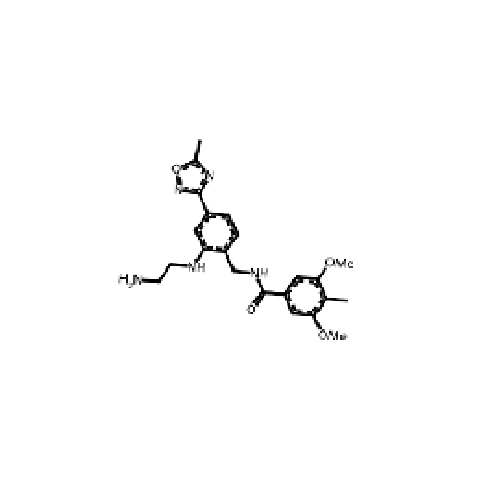 COc1cc(C(=O)NCc2ccc(-c3noc(C)n3)cc2NCCN)cc(OC)c1C